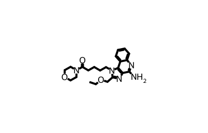 CCOCc1nc2c(N)nc3ccccc3c2n1CCCCC(=O)N1CCOCC1